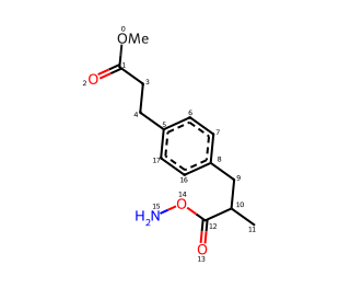 COC(=O)CCc1ccc(CC(C)C(=O)ON)cc1